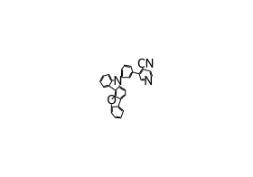 N#Cc1ccncc1-c1cccc(-n2c3ccccc3c3c4oc5ccccc5c4ccc32)c1